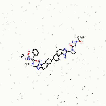 CCCN(Cc1nc2ccc3cc(-c4ccc5c(ccc6nc(C7CCN7C(=O)CNC(=O)OC)[nH]c65)c4)ccc3c2[nH]1)C(=O)[C@H](NC(=O)C1CC1)c1ccccc1